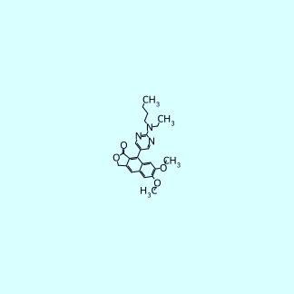 CCCCN(CC)c1ncc(-c2c3c(cc4cc(OC)c(OC)cc24)COC3=O)cn1